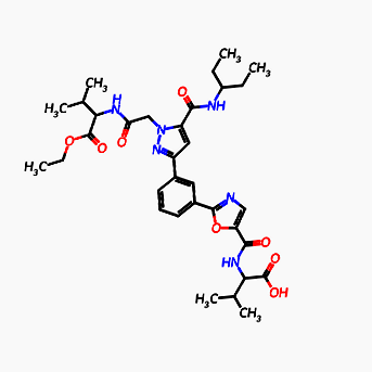 CCOC(=O)C(NC(=O)Cn1nc(-c2cccc(-c3ncc(C(=O)NC(C(=O)O)C(C)C)o3)c2)cc1C(=O)NC(CC)CC)C(C)C